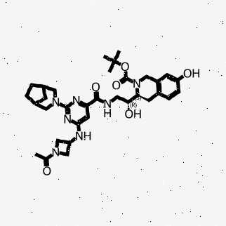 CC(=O)N1CC(Nc2cc(C(=O)NC[C@@H](O)[C@@H]3Cc4ccc(O)cc4CN3C(=O)OC(C)(C)C)nc(N3CC4CCC(C4)C3)n2)C1